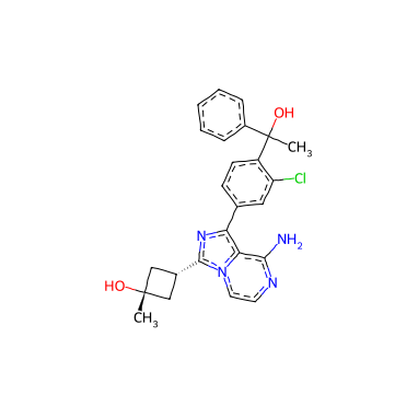 CC(O)(c1ccccc1)c1ccc(-c2nc([C@H]3C[C@@](C)(O)C3)n3ccnc(N)c23)cc1Cl